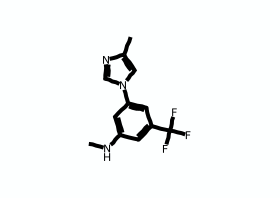 CNc1cc(-n2cnc(C)c2)cc(C(F)(F)F)c1